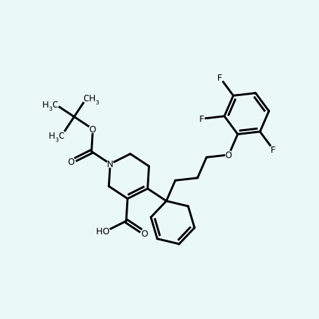 CC(C)(C)OC(=O)N1CCC(C2(CCCOc3c(F)ccc(F)c3F)C=CC=CC2)=C(C(=O)O)C1